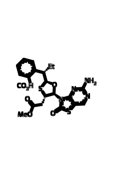 CC[C@@H](c1ccccc1C(=O)O)[C@H]1O[C@@H](n2c(=O)sc3cnc(N)nc32)[C@H](CC(=O)OC)S1